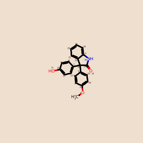 COc1ccc(C2(c3ccc(O)cc3)C(=O)Nc3ccccc32)cc1